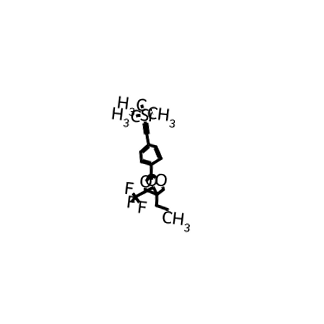 CCCC12COC(c3ccc(C#C[Si](C)(C)C)cc3)(OC1)OC2C(F)(F)F